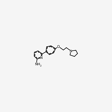 Nc1cccc(-c2ccc(OCCN3CCCC3)cc2)n1